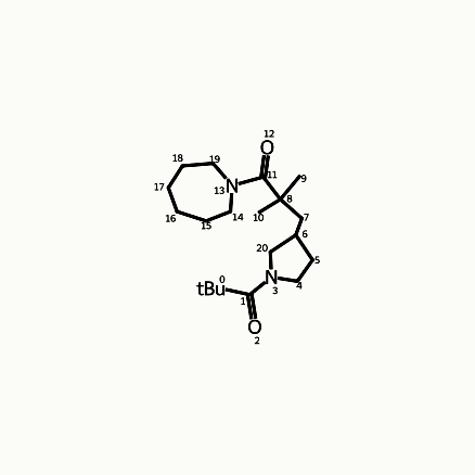 CC(C)(C)C(=O)N1CCC(CC(C)(C)C(=O)N2CCCCCC2)C1